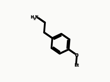 CCOc1ccc(CCN)cc1